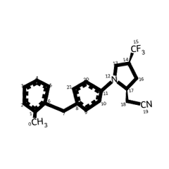 Cc1ccccc1Cc1ccc(N2C[C@@H](C(F)(F)F)C[C@H]2CC#N)cc1